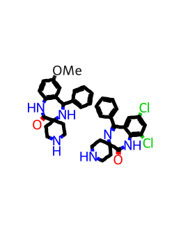 COc1ccc2c(c1)C(c1ccccc1)NC1(CCNCC1)C(=O)N2.O=C1Nc2c(Cl)cc(Cl)cc2C(c2ccccc2)=NC12CCNCC2